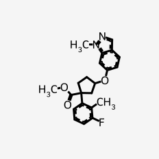 COC(=O)C1(c2cccc(F)c2C)CCC(Oc2ccc3cnn(C)c3c2)C1